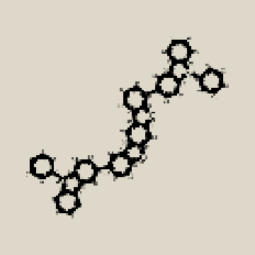 c1ccc(-n2c3ccccc3c3cc(-c4ccc5oc6cc7oc8c(-c9ccc%10c(c9)c9ccccc9n%10-c9ccccc9)cccc8c7cc6c5c4)ccc32)cc1